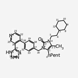 CCCCCc1c(C)n(CCC2CCCCC2)c(=O)n1Cc1ccc(-c2ccncc2-c2nnn[nH]2)cc1